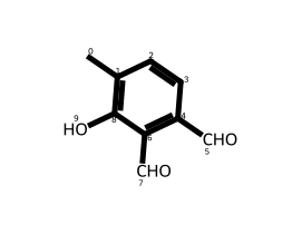 Cc1ccc(C=O)c(C=O)c1O